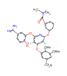 COc1cc(C(=O)O)cc(Oc2c(F)c(Oc3cccc(C(=O)N(C)C)c3)nc(Oc3cc(C(=N)N)ccc3O)c2F)c1OC